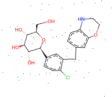 OC[C@H]1O[C@@H](c2ccc(Cl)c(Cc3ccc4c(c3)OCCN4)c2)[C@H](O)[C@@H](O)[C@@H]1O